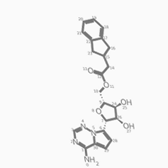 Nc1ncnn2c([C@@H]3O[C@H](COC(=O)CC4Cc5ccccc5C4)[C@@H](O)[C@H]3O)ccc12